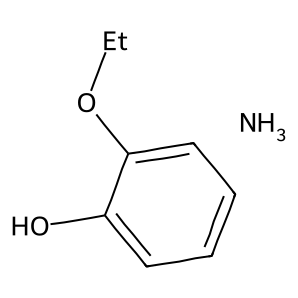 CCOc1ccccc1O.N